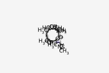 C/C(=C\c1csc(C)n1)C1C[C@H]2O[C@@]2(C)CCCC(C)C(O)C(C)C(=O)C(C)(C)[C@@H](O)CC(=O)O1